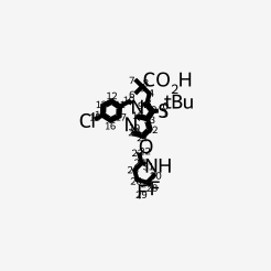 CC(C)(C)Sc1c(CC(C)(C)C(=O)O)n(Cc2ccc(Cl)cc2)c2ncc(OCC3CCC(F)(F)CN3)cc12